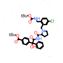 CC(C)(C)OC(=O)NCc1ccc(Cl)cc1CN1CCC[C@H]1C(=O)NC(=O)C(O)(c1ccccc1)c1ccc(C(=O)OC(C)(C)C)cc1